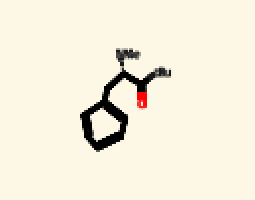 CN[C@@H](Cc1ccccc1)C(=O)C(C)(C)C